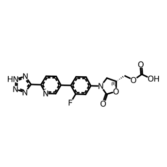 O=C(O)OC[C@H]1CN(c2ccc(-c3ccc(-c4nn[nH]n4)nc3)c(F)c2)C(=O)O1